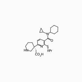 CCCSc1nc([C@]2(CC(=O)O)CCCNC2)ccc1C(=O)N(C1CCCCC1)C1CC1